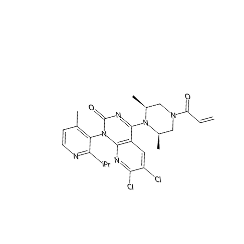 C=CC(=O)N1C[C@@H](C)N(c2nc(=O)n(-c3c(C)ccnc3C(C)C)c3nc(Cl)c(Cl)cc23)[C@@H](C)C1